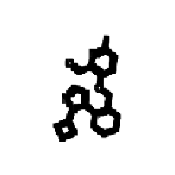 Cc1ccc(OCC2=C(c3ccnn3C3CCC3)CCCC2)c(C=O)n1